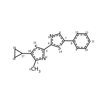 Cc1nc(-c2ncc(-c3ccccc3)s2)sc1C1CC1